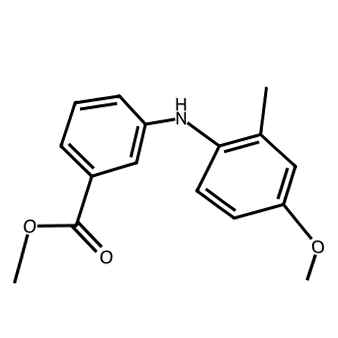 COC(=O)c1cccc(Nc2ccc(OC)cc2C)c1